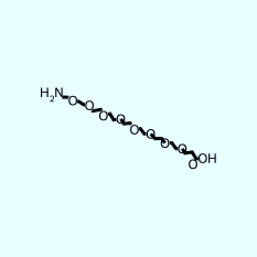 NCCOCCOCCOCCOCCOCCOCCOCCOCCC(=O)O